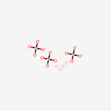 [B+3].[B+3].[B+3].[B+3].[O-][Ti]([O-])([O-])[O-].[O-][Ti]([O-])([O-])[O-].[O-][Ti]([O-])([O-])[O-]